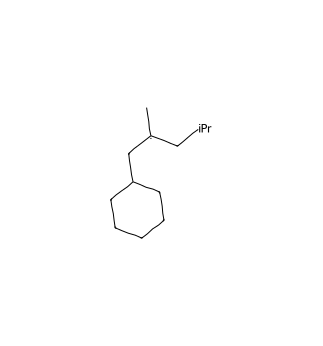 C[C](CC(C)C)CC1CCCCC1